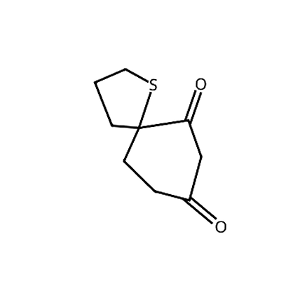 O=C1CCC2(CCCS2)C(=O)C1